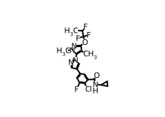 Cc1c(OC(F)(F)C(C)F)nn(C)c1-n1cc(-c2cc(F)c(Cl)c(C(=O)NC3CC3)c2)cn1